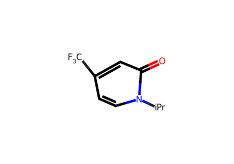 CC(C)n1ccc(C(F)(F)F)cc1=O